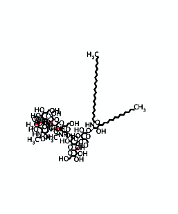 CCCCCCCCCCCCC/C=C/[C@@H](O)[C@H](CO[C@@H]1OC(CO)[C@@H](O[C@@H]2OC(CO[C@@H]3OC(CO)[C@@H](O[C@@H]4OC(CO)[C@H](O[C@@H]5OC(CO)[C@H](O)[C@H](O)C5NC(C)=O)[C@H](O[C@]5(C(=O)O)CC(O)[C@@H](NC(C)=O)C([C@H](O)[C@H](O)CO)O5)C4O)[C@H](O)C3NC(C)=O)[C@H](O)[C@H](O[C@H]3OC(CO)[C@H](O)[C@H](O)C3O)C2O)[C@H](O)C1O)NC(=O)CCCCCCCCCCCCCCCCCCCCCCC